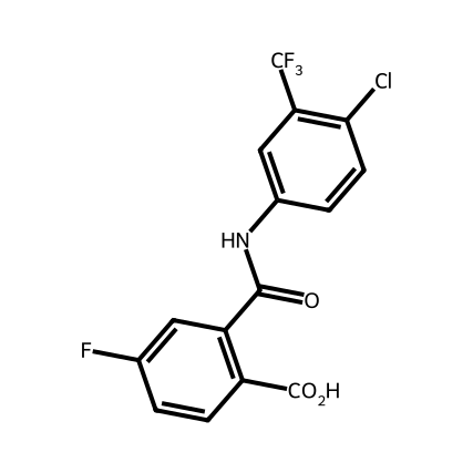 O=C(O)c1ccc(F)cc1C(=O)Nc1ccc(Cl)c(C(F)(F)F)c1